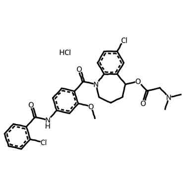 COc1cc(NC(=O)c2ccccc2Cl)ccc1C(=O)N1CCCC(OC(=O)CN(C)C)c2cc(Cl)ccc21.Cl